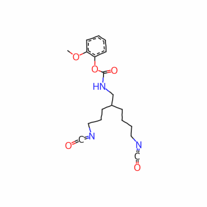 COc1ccccc1OC(=O)NCC(CCCCN=C=O)CCCN=C=O